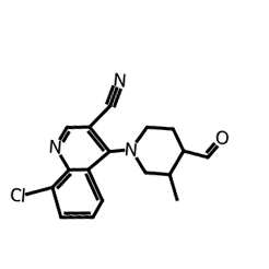 CC1CN(c2c(C#N)cnc3c(Cl)cccc23)CCC1C=O